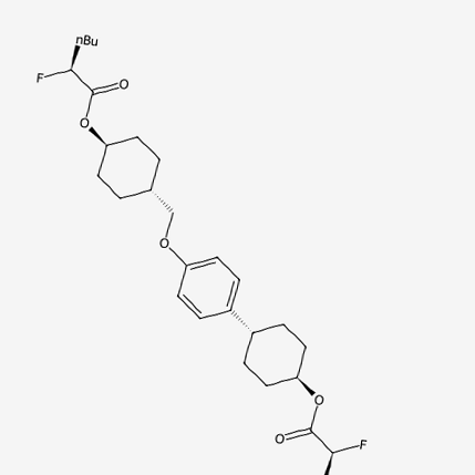 CCCC[C@H](F)C(=O)O[C@H]1CC[C@H](COc2ccc([C@H]3CC[C@H](OC(=O)[C@@H](F)CCCC)CC3)cc2)CC1